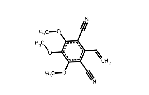 C=Cc1c(C#N)c(OC)c(OC)c(OC)c1C#N